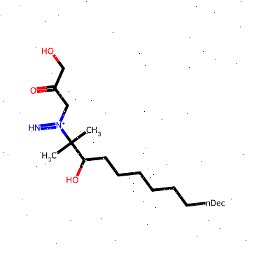 CCCCCCCCCCCCCCCCC(O)C(C)(C)[N+](=N)CC(=O)CO